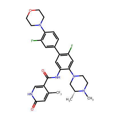 C[C@@H]1CN(c2cc(F)c(-c3ccc(N4CCOCC4)c(F)c3)cc2NC(=O)c2c[nH]c(=O)cc2C(F)(F)F)CCN1C